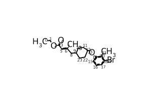 CCOC(=O)/C=C(\C)CC1CCC(Oc2cccc(Br)c2C)CC1